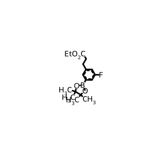 CCOC(=O)CCc1cc(F)cc(B2OC(C)(C)C(C)(C)O2)c1